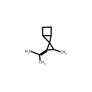 C/C(N)=C1\C(C)C12C1CCC12